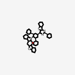 c1ccc(-c2nc(-c3cc(-c4ccccc4)c(-n4c5ccccc5c5cc6oc7ccccc7c6cc54)c(-c4ccccc4)c3)c3sc4ccccc4c3n2)cc1